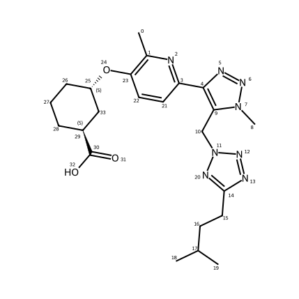 Cc1nc(-c2nnn(C)c2Cn2nnc(CCC(C)C)n2)ccc1O[C@H]1CCC[C@H](C(=O)O)C1